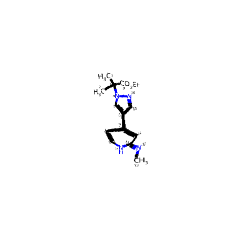 CCOC(=O)C(C)(C)n1cc(-c2cc[nH]/c(=N\C)c2)cn1